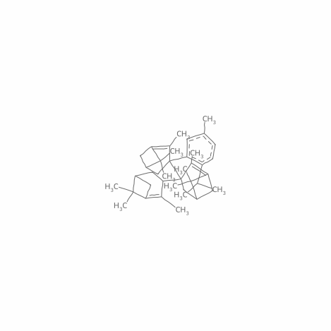 CC1=C2CC(CC1C1(C3(c4cc(C)ccc4C(C)C)CC4CC(=C3C)C4(C)C)CC3CC(=C1C)C3(C)C)C2(C)C